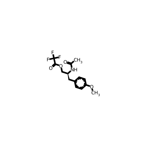 COc1ccc(C[C@@H](COC(=O)C(F)(F)F)NC(C)=O)cc1